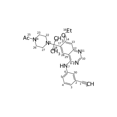 C#Cc1cccc(Nc2ncnc3cc(OCC)c(C(C)(C)N4CCN(C(C)=O)CC4)cc23)c1